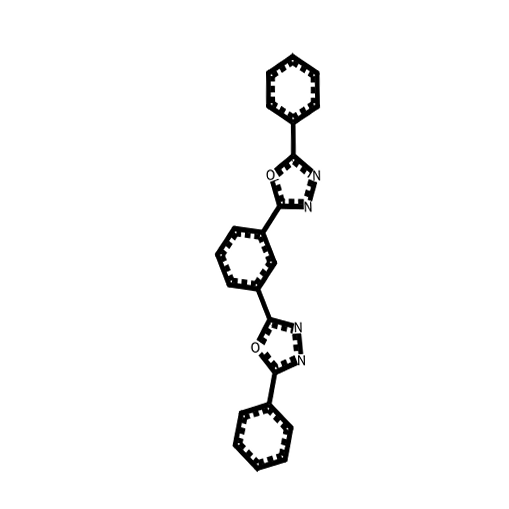 [c]1ccc(-c2nnc(-c3cccc(-c4nnc(-c5cc[c]cc5)o4)c3)o2)cc1